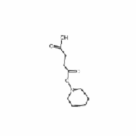 O=C(O)CCC(=O)ON1CCCCC1